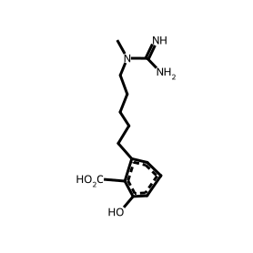 CN(CCCCCc1cccc(O)c1C(=O)O)C(=N)N